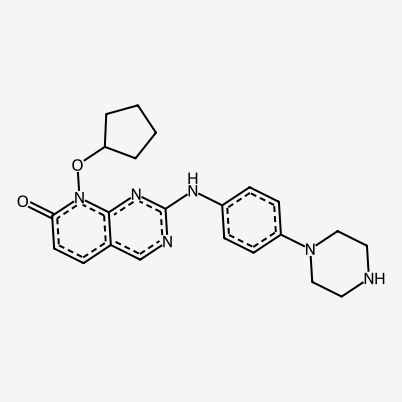 O=c1ccc2cnc(Nc3ccc(N4CCNCC4)cc3)nc2n1OC1CCCC1